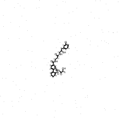 C[C@H](O)C(=O)NS(=O)(=O)c1ccccc1-c1ccc(C(=O)NCCC(=O)NC[C@H](S)Cc2cccc(Cl)c2)cc1